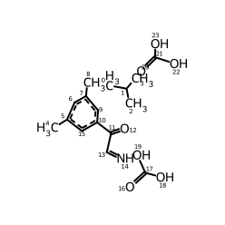 CC(C)C.Cc1cc(C)cc(C(=O)C=N)c1.O=C(O)O.O=C(O)O